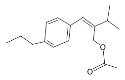 CCCc1ccc(C=C(COC(C)=O)C(C)C)cc1